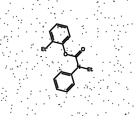 CCc1ccccc1OC(=O)N(CC)c1ccccc1